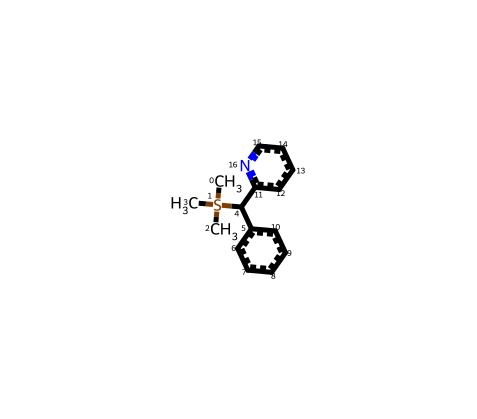 CS(C)(C)C(c1ccccc1)c1ccccn1